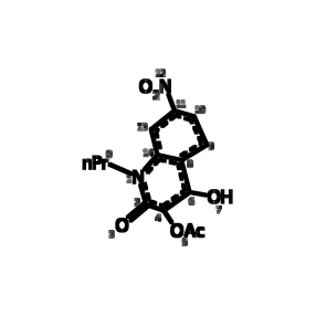 CCCn1c(=O)c(OC(C)=O)c(O)c2ccc([N+](=O)[O-])cc21